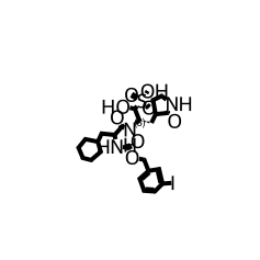 O=C(NC(CC1CCCCC1)C(=O)N[C@@H](CC1CCNC1=O)C(O)S(=O)(=O)O)OCc1cccc(I)c1